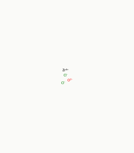 [Cl-].[Cl-].[O-2].[Zr+4]